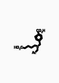 CC(=O)CN(CCCCC(=O)O)Cc1ccc(C(=O)O)cc1